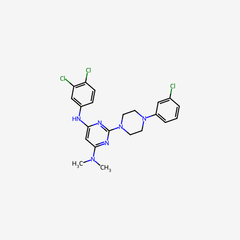 CN(C)c1cc(Nc2ccc(Cl)c(Cl)c2)nc(N2CCN(c3cccc(Cl)c3)CC2)n1